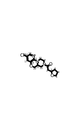 O=C(CC1CCCO1)N1CCN2c3ncc(Cl)cc3OCC2C1